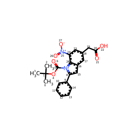 CC(C)(C)OC(=O)n1c(-c2ccccc2)cc2cc(CC(=O)O)cc([N+](=O)[O-])c21